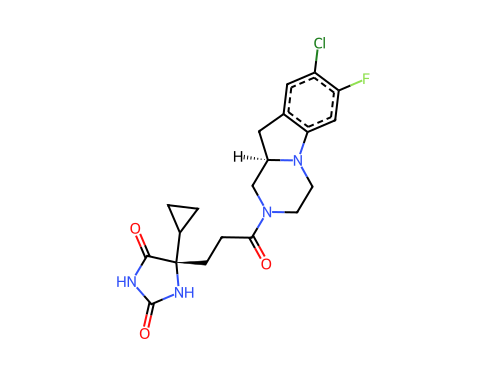 O=C1NC(=O)[C@](CCC(=O)N2CCN3c4cc(F)c(Cl)cc4C[C@@H]3C2)(C2CC2)N1